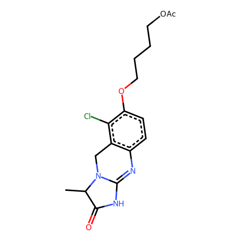 CC(=O)OCCCCOc1ccc2c(c1Cl)CN1C(=N2)NC(=O)C1C